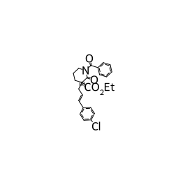 CCOC(=O)[C@@]1(CC=Cc2ccc(Cl)cc2)CCCN(C(=O)c2ccccc2)C1=O